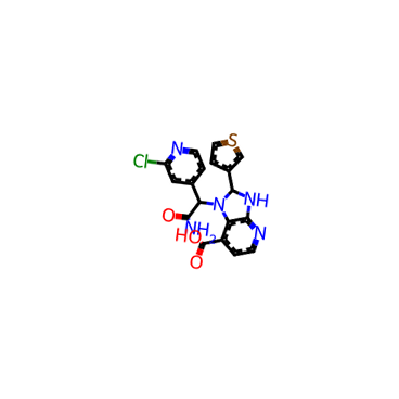 NC(=O)C(c1ccnc(Cl)c1)N1c2c(C(=O)O)ccnc2NC1c1ccsc1